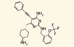 Nc1nc(NCc2ccccc2OC(F)(F)F)nc(C[C@H]2CC[C@H](N)CC2)c1C#Cc1ccccc1